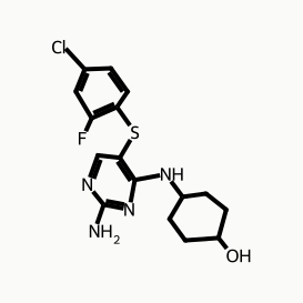 Nc1ncc(Sc2ccc(Cl)cc2F)c(NC2CCC(O)CC2)n1